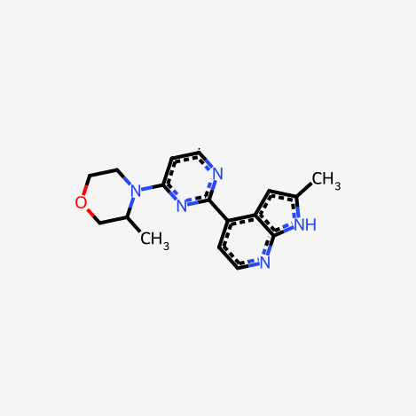 Cc1cc2c(-c3n[c]cc(N4CCOCC4C)n3)ccnc2[nH]1